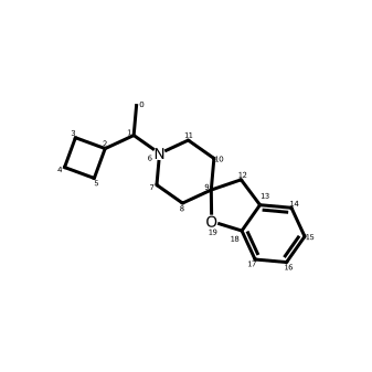 CC(C1CCC1)N1CCC2(CC1)Cc1ccccc1O2